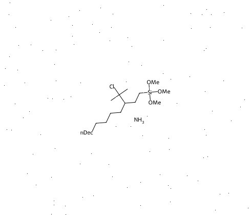 CCCCCCCCCCCCCCC(CC[Si](OC)(OC)OC)C(C)(C)Cl.N